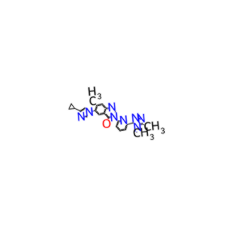 Cc1cc2ncn(-c3cccc(-c4nnc(C)n4C)n3)c(=O)c2cc1-n1cnc(C2CC2)c1